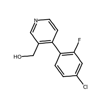 OCc1cnccc1-c1ccc(Cl)cc1F